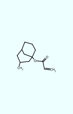 C=CC(=O)OC12CCCC(CC(C)C1)C2